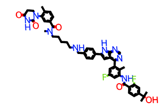 Cc1ccc(C(=O)N(C)CCCCCNCc2ccc(-c3cc4c(-c5cc(F)cc(NC(=O)c6ccc(C(C)(C)O)cc6F)c5C)ncnc4[nH]3)cc2)cc1N1CCC(=O)NC1=O